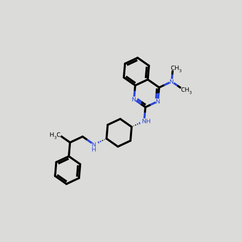 CC(CN[C@H]1CC[C@@H](Nc2nc(N(C)C)c3ccccc3n2)CC1)c1ccccc1